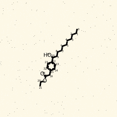 CCCCCCCCCCC(O)c1ccc(CC(=O)OCC)cc1